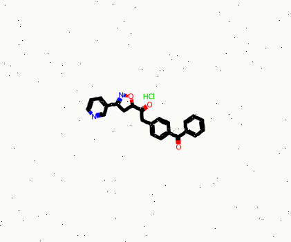 Cl.O=C(c1ccccc1)c1ccc(CC(=O)C2CC(c3cccnc3)=NO2)cc1